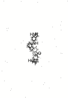 O=C(C1CCc2c(sc3ncnc(Nc4ccc5[nH]ncc5c4)c23)C1)N1CCC(O)(C(F)(F)F)CC1